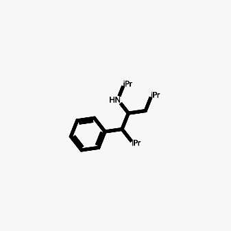 CC(C)CC(NC(C)C)C(c1ccccc1)C(C)C